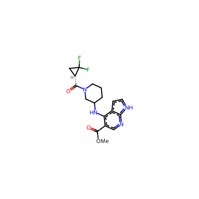 COC(=O)c1cnc2[nH]ccc2c1NC1CCCN(C(=O)[C@@H]2CC2(F)F)C1